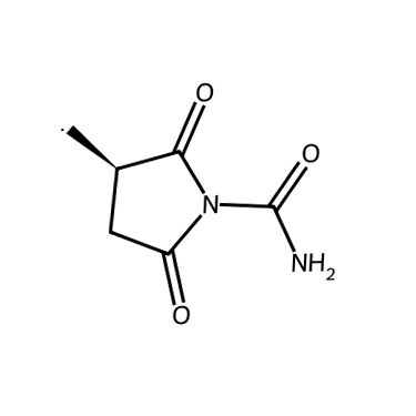 [CH2][C@@H]1CC(=O)N(C(N)=O)C1=O